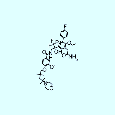 CCOc1c(CC(N)=O)cc([C@@](O)(CNC(=O)c2ccc(OCC(C)(C)CC(C)(C)N3CCOCC3)c(OC)c2)C(F)(F)F)nc1-c1ccc(F)cc1